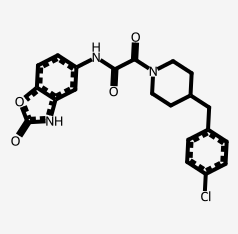 O=C(Nc1ccc2oc(=O)[nH]c2c1)C(=O)N1CCC(Cc2ccc(Cl)cc2)CC1